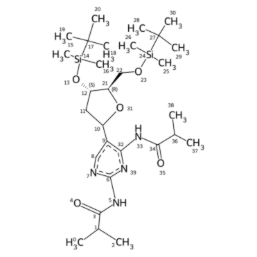 CC(C)C(=O)Nc1ncc(C2C[C@H](O[Si](C)(C)C(C)(C)C)[C@@H](CO[Si](C)(C)C(C)(C)C)O2)c(NC(=O)C(C)C)n1